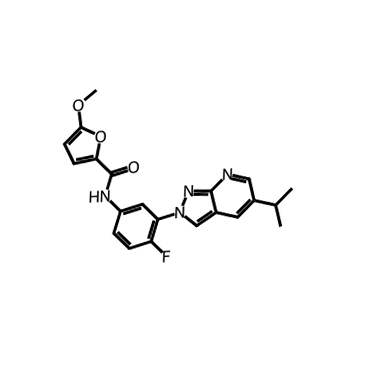 COc1ccc(C(=O)Nc2ccc(F)c(-n3cc4cc(C(C)C)cnc4n3)c2)o1